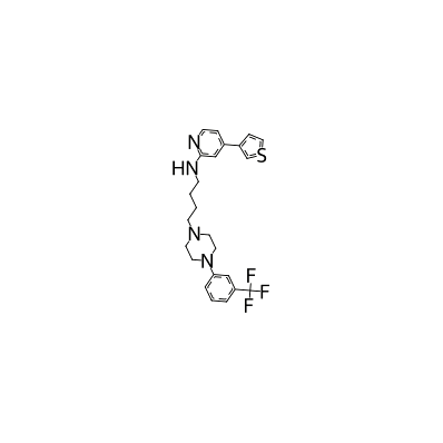 FC(F)(F)c1cccc(N2CCN(CCCCNc3cc(-c4ccsc4)ccn3)CC2)c1